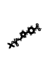 CC(C)(C)OC(=O)NCc1nc(-c2ccc([N+](=O)[O-])cc2)cs1